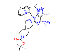 CNc1ncnc2c1c(I)nn2C(C)c1cc2ccccn2c1CN1CCC2(CC1)CCN(C(=O)OC(C)(C)C)CC2